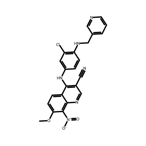 COc1ccc2c(Nc3ccc(NCc4cccnc4)c(Cl)c3)c(C#N)cnc2c1[N+](=O)[O-]